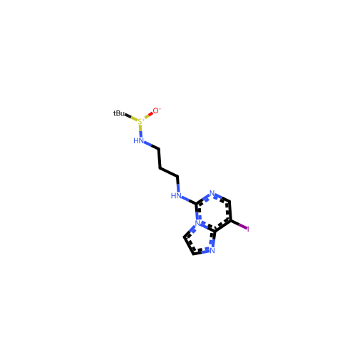 CC(C)(C)[S+]([O-])NCCCNc1ncc(I)c2nccn12